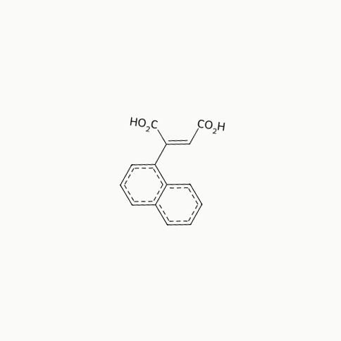 O=C(O)C=C(C(=O)O)c1cccc2ccccc12